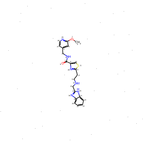 COc1cc(CNC(=O)c2csc(CCNCc3nc4ccccc4[nH]3)n2)ccn1